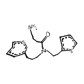 NCC(=O)N(Cc1cccs1)Cc1cccs1